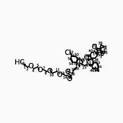 C#CCOCCOCCOCCOCCS(=O)(=O)CCCn1c(CN2C(=O)C3(CCN(C(=O)C4(C(F)(F)F)CC4)CC3)c3ccncc32)nc2cc(Cl)ccc21